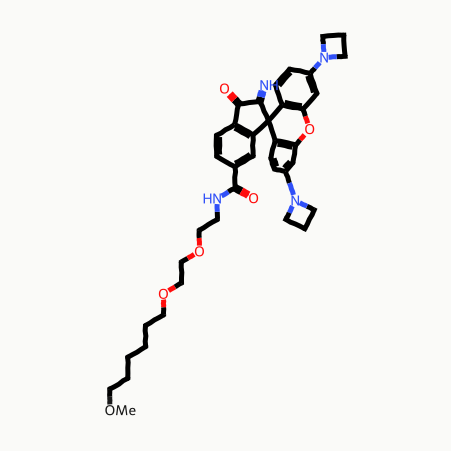 COCCCCCCOCCOCCNC(=O)c1ccc2c(c1)C1(C(=N)C2=O)c2ccc(N3CCC3)cc2Oc2cc(N3CCC3)ccc21